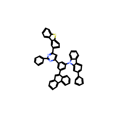 c1ccc(-c2ccc3c4ccccc4n(-c4cc(-c5cc(-c6ccc7sc8ccccc8c7c6)nc(-c6ccccc6)n5)cc(-c5cc6ccccc6c6ccccc56)c4)c3c2)cc1